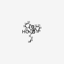 C#CCCCC(O)C(c1ccccc1)S(=O)(=O)c1ccccc1